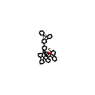 c1ccc(-c2ccc(N(c3ccc(-c4ccc5c(c4)c4ccccc4n5-c4ccccc4)cc3)c3cccc4c3C3(c5ccccc5-4)c4ccccc4-c4c3ccc3sc5ccccc5c43)cc2)cc1